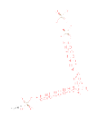 O.O.O.O.O.O.O.O.O.O.O.O.O.O.O.O.O.O.O.O.O.O=S(=O)([O-])[O-].O=S(=O)([O-])[O-].O=S(=O)([O-])[O-].[Fe+3].[Fe+3]